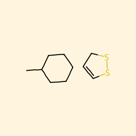 C1=CSSC1.CC1CCCCC1